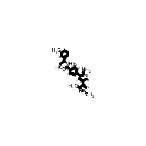 Cc1cccc(C(CO)NC(=O)c2ccc(-c3cc(-c4cn(C)nc4C)cnc3N)cc2F)c1